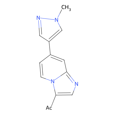 CC(=O)c1cnc2cc(-c3cnn(C)c3)ccn12